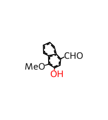 COc1c(O)cc(C=O)c2ccccc12